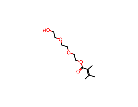 CC(C)=C(C)C(=O)OCCOCCOCCO